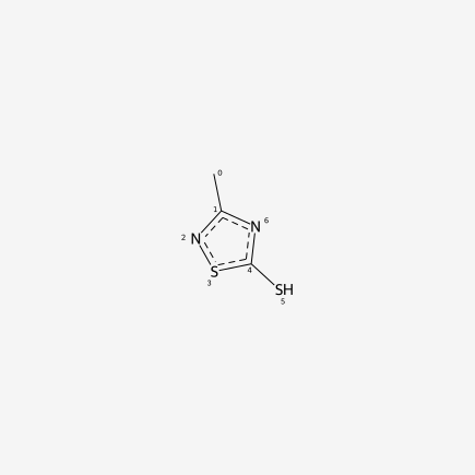 Cc1nsc(S)n1